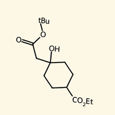 CCOC(=O)C1CCC(O)(CC(=O)OC(C)(C)C)CC1